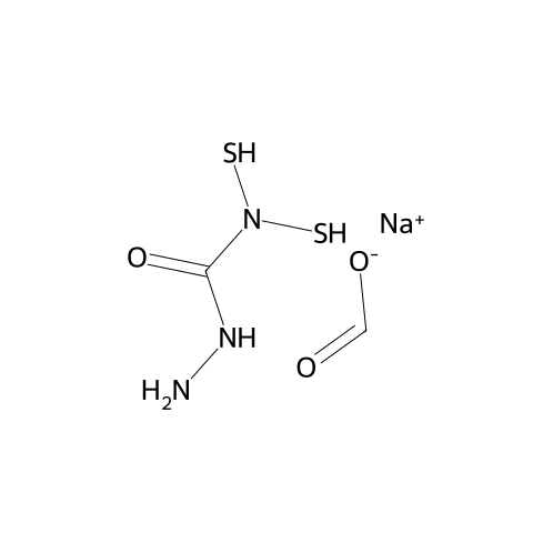 NNC(=O)N(S)S.O=C[O-].[Na+]